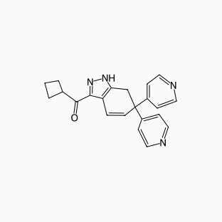 O=C(c1n[nH]c2c1C=CC(c1ccncc1)(c1ccncc1)C2)C1CCC1